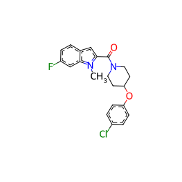 Cn1c(C(=O)N2CCC(Oc3ccc(Cl)cc3)CC2)cc2ccc(F)cc21